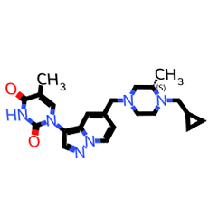 Cc1cn(-c2cnn3ccc(CN4CCN(CC5CC5)[C@@H](C)C4)cc23)c(=O)[nH]c1=O